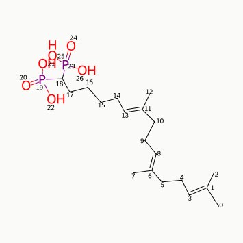 CC(C)=CCCC(C)=CCCC(C)=CCCCCC(P(=O)(O)O)P(=O)(O)O